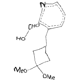 COC1(OC)CC(c2cccnc2)C1.O=CO